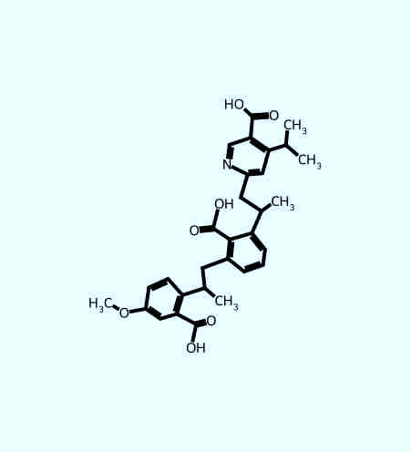 COc1ccc(C(C)Cc2cccc(C(C)Cc3cc(C(C)C)c(C(=O)O)cn3)c2C(=O)O)c(C(=O)O)c1